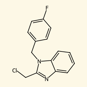 Fc1ccc(Cn2c(CCl)nc3ccccc32)cc1